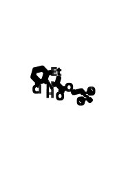 CCc1cccc(Cl)c1NC(C)C(=O)OCCS(C)(=O)=O